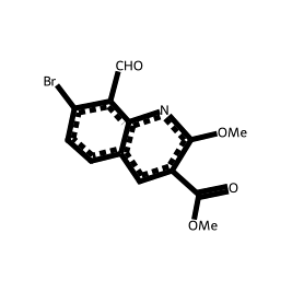 COC(=O)c1cc2ccc(Br)c(C=O)c2nc1OC